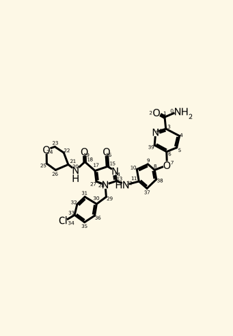 NC(=O)c1ccc(Oc2ccc(Nc3nc(=O)c(C(=O)NC4CCOCC4)cn3Cc3ccc(Cl)cc3)cc2)cn1